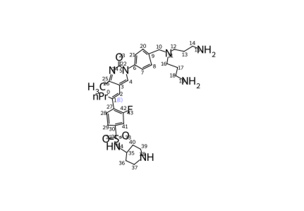 CCC/C(=C\c1cn(-c2ccc(CN(CCCN)CCCN)cc2)c(=O)nc1C)c1ccc(S(=O)(=O)NC2CCNCC2)cc1F